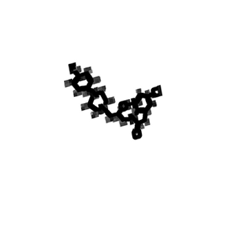 O=C1Cc2cc(Cl)ccc2N1CC(O)CN1CCN(c2ccc(F)cc2)CC1